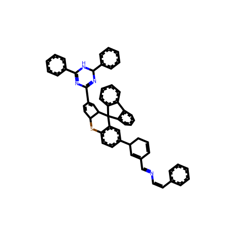 C1=CC(/C=N/C=C\c2ccccc2)=CC(c2ccc3c(c2)C2(c4ccccc4-c4ccccc42)C2C=C(C4=NC(c5ccccc5)NC(c5ccccc5)=N4)C=CC2S3)C1